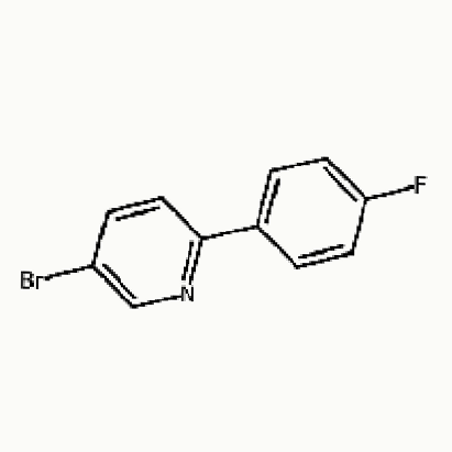 Fc1ccc(-c2ccc(Br)cn2)cc1